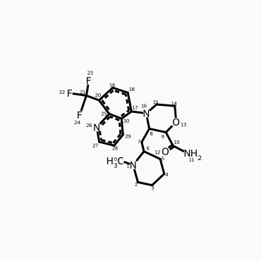 CN1CCCCC1CC1C(C(N)=O)OCCN1c1ccc(C(F)(F)F)c2ncccc12